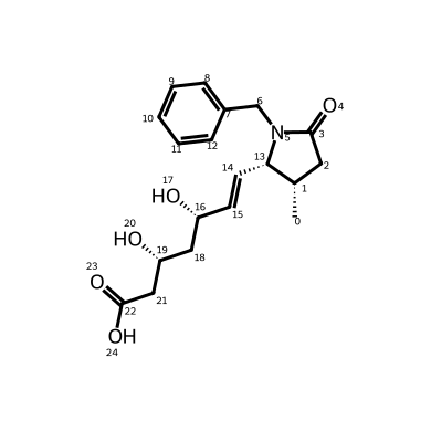 C[C@H]1CC(=O)N(Cc2ccccc2)[C@H]1C=C[C@@H](O)C[C@@H](O)CC(=O)O